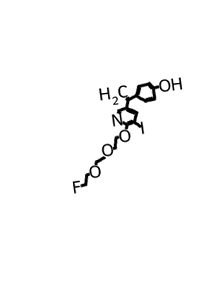 C=C(c1ccc(O)cc1)c1cnc(OCCOCCOCCF)c(I)c1